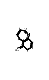 S=C1CC=CC2=C1CC=CC=N2